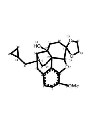 COc1ccc2c3c1OC1C4(CC[C@@]5(O)C(C2)N(CC2CC2)CCC315)OCCO4